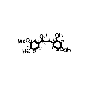 COc1cc(C(O)CCc2ccc(O)cc2O)ccc1O